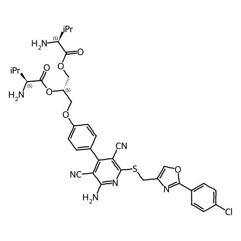 CC(C)[C@H](N)C(=O)OC[C@H](COc1ccc(-c2c(C#N)c(N)nc(SCc3coc(-c4ccc(Cl)cc4)n3)c2C#N)cc1)OC(=O)[C@@H](N)C(C)C